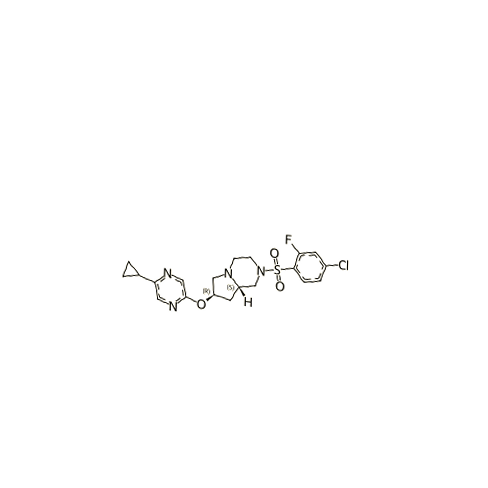 O=S(=O)(c1ccc(Cl)cc1F)N1CCN2C[C@H](Oc3cnc(C4CC4)cn3)C[C@H]2C1